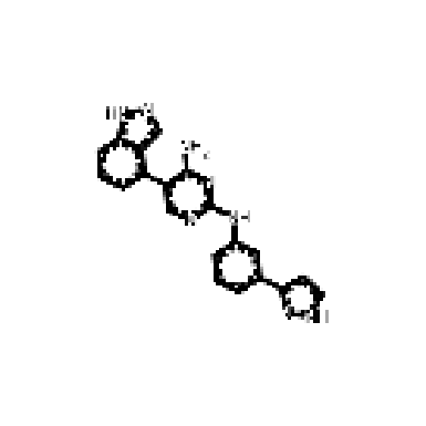 Nc1nc(Nc2cccc(-c3cc[nH]n3)c2)ncc1-c1cccc2[nH]ncc12